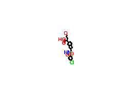 O=CCCC(C(=O)O)c1ccc2c(c1)CC(CNS(=O)(=O)c1ccc(Cl)cc1)C2